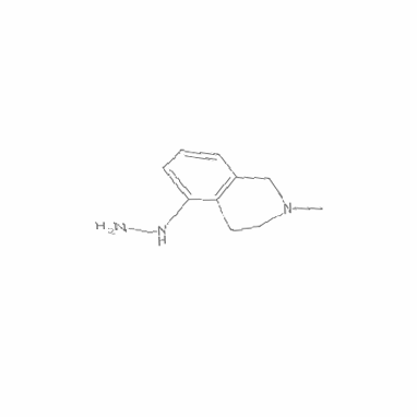 CN1CCc2c(cccc2NN)C1